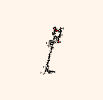 CCCN(CCNC(=O)CCOCCOCCOCCOCCOCCC(=O)NC[C@H]1OC(C(=O)NCCCC[C@H]2C(=O)N[C@@H](CCCNC(=N)N)C(=O)NCC(=O)N[C@@H](CC(=O)O)C(=O)N[C@@H](Cc3ccccc3)c3cn2nn3)[C@@H](O)C(O)[C@H]1O)C(=O)Cn1cc(CCCF)nn1